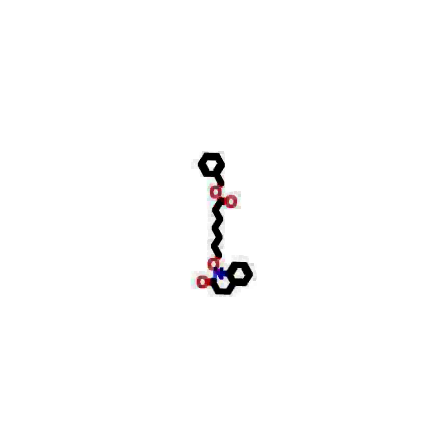 O=C(CCCCCCON1C(=O)CCc2ccccc21)OCc1ccccc1